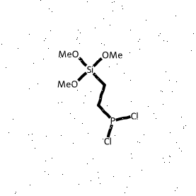 CO[Si](CCP(Cl)Cl)(OC)OC